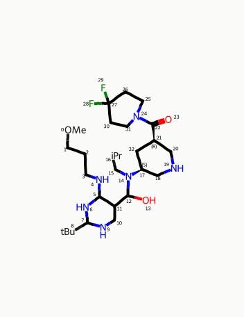 COCCCNC1NC(C(C)(C)C)NCC1C(O)N(CC(C)C)[C@@H]1CNC[C@H](C(=O)N2CCC(F)(F)CC2)C1